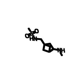 CNC1CC2(CNS(C)(=O)=O)CC1C2